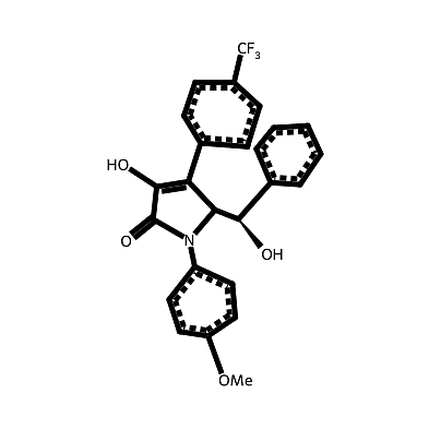 COc1ccc(N2C(=O)C(O)=C(c3ccc(C(F)(F)F)cc3)C2[C@H](O)c2ccccc2)cc1